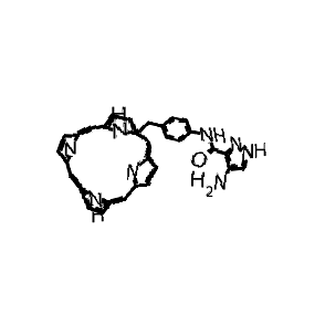 Nc1c[nH]nc1C(=O)Nc1ccc(CC23C=C4C=CC(=N4)C=c4ccc([nH]4)=CC4=NC(=CC(=CC2)N3)C=C4)cc1